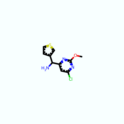 COc1nc(Cl)cc(C(N)c2ccsc2)n1